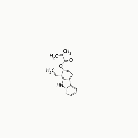 C=Cc1c(OC(=O)C(=C)C)ccc2c1[nH]c1ccccc12